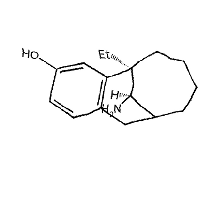 CC[C@@]12CCCCC(Cc3ccc(O)cc31)[C@H]2N